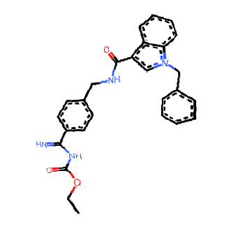 CCOC(=O)NC(=N)c1ccc(CNC(=O)c2cn(Cc3ccccc3)c3ccccc23)cc1